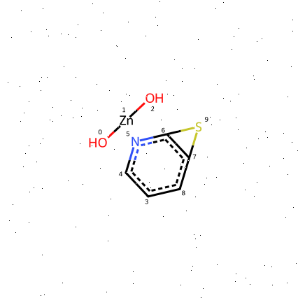 [OH][Zn][OH].c1cnc2c(c1)S2